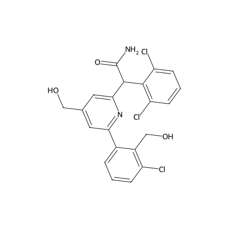 NC(=O)C(c1cc(CO)cc(-c2cccc(Cl)c2CO)n1)c1c(Cl)cccc1Cl